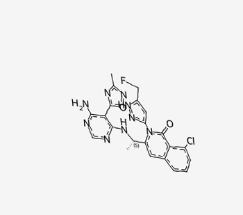 Cc1noc(-c2c(N)ncnc2N[C@@H](C)c2cc3cccc(Cl)c3c(=O)n2-c2cc(CF)[nH]n2)n1